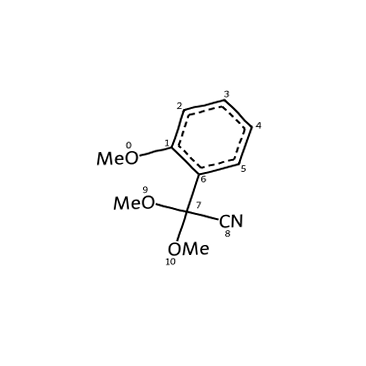 COc1ccccc1C(C#N)(OC)OC